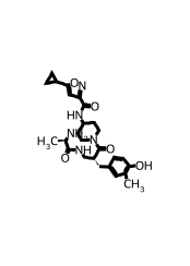 Cc1cc(C[C@H](CNC(=O)[C@@H](C)N)C(=O)N2CCC(NC(=O)c3cc(C4CC4)on3)CC2)ccc1O